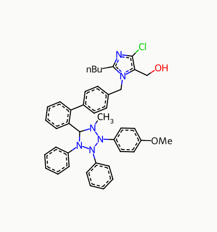 CCCCc1nc(Cl)c(CO)n1Cc1ccc(-c2ccccc2C2N(C)N(c3ccc(OC)cc3)N(c3ccccc3)N2c2ccccc2)cc1